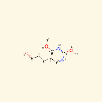 COc1ncc(CCC=O)c(OC)n1